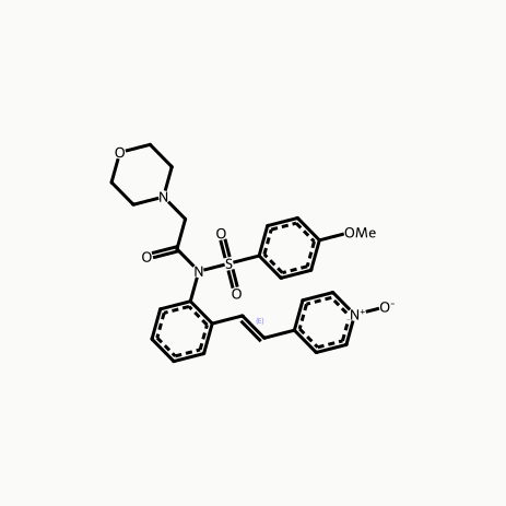 COc1ccc(S(=O)(=O)N(C(=O)CN2CCOCC2)c2ccccc2/C=C/c2cc[n+]([O-])cc2)cc1